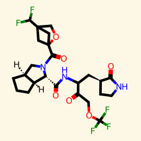 O=C(COC(F)(F)F)C(C[C@@H]1CCNC1=O)NC(=O)[C@@H]1[C@H]2CCC[C@H]2CN1C(=O)C12CC(C(F)F)(CO1)C2